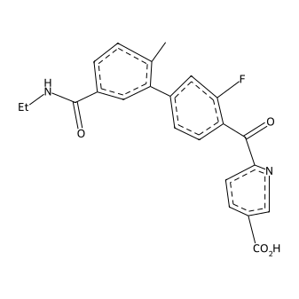 CCNC(=O)c1ccc(C)c(-c2ccc(C(=O)c3ccc(C(=O)O)cn3)c(F)c2)c1